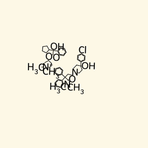 CN(C)C(=O)C(CCN1CCC(O)(c2ccc(Cl)cc2)CC1)(c1ccccc1)c1ccccc1.C[N+]1(C)CCC(OC(=O)C(O)(c2ccccc2)C2CCCC2)C1